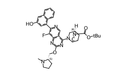 CN1CCC[C@H]1COc1nc(N2C[C@H]3CCC2CN3C(=O)OC(C)(C)C)c2cnc(-c3cc(O)cc4ccccc34)c(F)c2n1